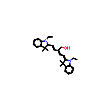 CCN1/C(=C/C=C(/C=C/C2N(CC)c3ccccc3C2(C)C)CO)C(C)(C)c2ccccc21